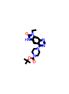 CCn1c(=O)[nH]c2cc3c(N4CCN(C(=O)OC(C)(C)C)CC4)ncnc3cc21